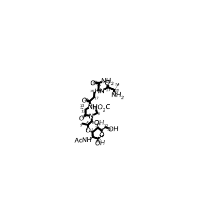 CC(=O)N[C@@H]1[C@@H](OC(C)CN(CC(=O)O)C(=O)[C@H](C)NC(=O)CC[C@@H](NC(=O)[C@H](C)N)C(N)=O)[C@H](O)[C@@H](CO)O[C@@H]1O